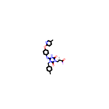 Cc1ccc(Cn2c(=O)n(C[C@H](C)C(=O)I)c(=O)[nH]/c2=N\c2ccc(Oc3ccc(C)cn3)cc2)cc1